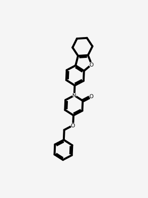 O=c1cc(OCc2ccccc2)ccn1-c1ccc2c3c(oc2c1)CCCC3